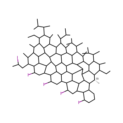 CCC1C(C(C)C(C)C)C(C)C2C3C(C(C)C(C)C)C(C)C4C5C(C(C)C(C)C)C(C)C6C7C5C5C8C9C(CC(I)C%10C%11CC(I)C%12C(CC(C)I)C(C)C%13C(C)C1C2C1C%13C%12C%11C2C(C%109)C5C4C3C21)C1C(I)CC2C3C(I)CCCC3C3C4C2C1C8C7C4C1C6C(C(C)C(C)C)C(C)C(CC)C1[C@@H]3C